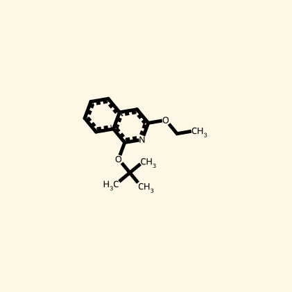 CCOc1cc2ccccc2c(OC(C)(C)C)n1